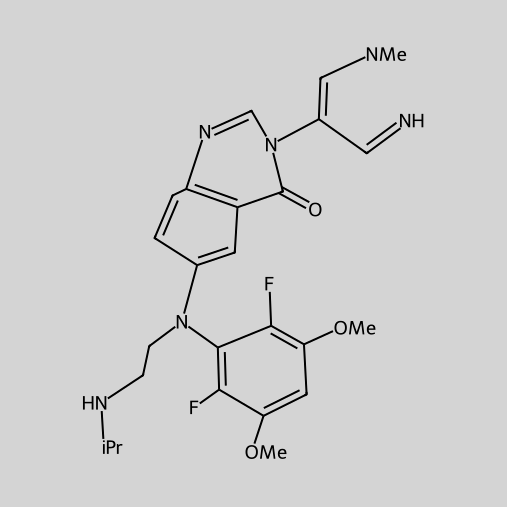 CN/C=C(\C=N)n1cnc2ccc(N(CCNC(C)C)c3c(F)c(OC)cc(OC)c3F)cc2c1=O